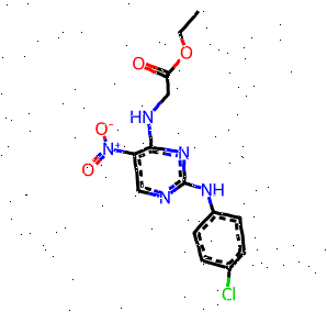 CCOC(=O)CNc1nc(Nc2ccc(Cl)cc2)ncc1[N+](=O)[O-]